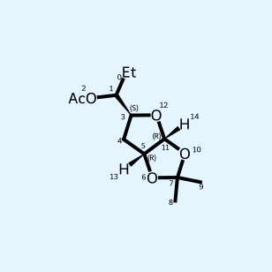 CCC(OC(C)=O)[C@@H]1C[C@H]2OC(C)(C)O[C@H]2O1